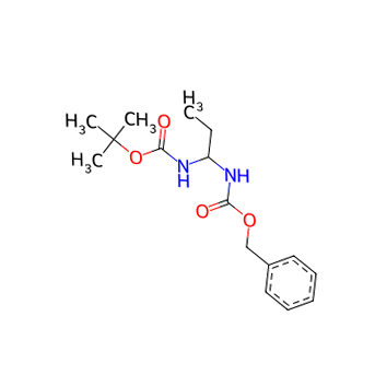 CCC(NC(=O)OCc1ccccc1)NC(=O)OC(C)(C)C